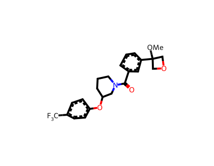 COC1(c2cccc(C(=O)N3CCCC(Oc4ccc(C(F)(F)F)cc4)C3)c2)COC1